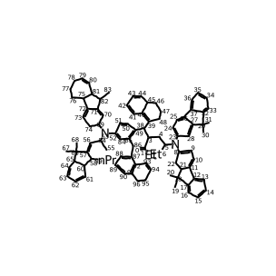 C=C(CC)C(CC(CC)N(C1=CC=C2c3ccccc3C(C)(C)C2C1)c1ccc2c(c1)C(C)(C)c1ccccc1-2)C(C1=C2C=CC=CC2CCC1)c1ccc(N(C(C)/C=C2\C(CCC)C3C=CC=CC3C2(C)C)C2C=C3C(=CC2)C2CCCC=CC2C3C)cc1Cc1cccc2c1C=CCC2